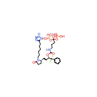 O=C(NCCCC(O)(OP(O)O)OP(O)O)O[C@H](/C=C/[C@H]1CCC(=O)N1CCCCCCc1nn[nH]n1)C(F)(F)c1ccccc1